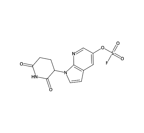 O=C1CCC(n2ccc3cc(OS(=O)(=O)F)cnc32)C(=O)N1